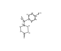 C=C1CCN(C(=O)c2ccc(F)cc2)CC1